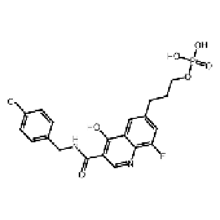 O=C(NCc1ccc(Cl)cc1)c1cnc2c(F)cc(CCCOP(=O)(O)O)cc2c1O